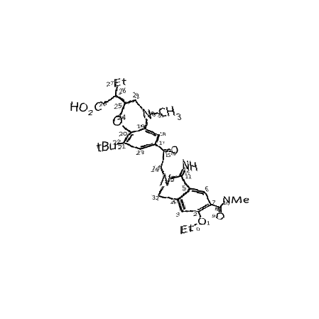 CCOc1cc2c(cc1C(=O)NC)C(=N)N(CC(=O)c1cc3c(c(C(C)(C)C)c1)OC(C(CC)C(=O)O)CN3C)C2